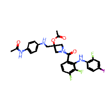 CC(=O)Nc1ccc(NCC2(OC(C)=O)CN(C(=O)c3ccc(F)c(F)c3Nc3ccc(I)cc3F)C2)cc1